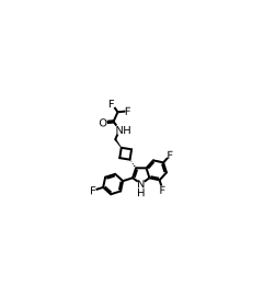 O=C(NC[C@H]1C[C@H](c2c(-c3ccc(F)cc3)[nH]c3c(F)cc(F)cc32)C1)C(F)F